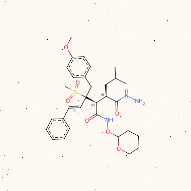 COc1ccc(CC(/C=C/c2ccccc2)([C@H](C(=O)NOC2CCCCO2)[C@@H](CC(C)C)C(=O)NN)S(C)(=O)=O)cc1